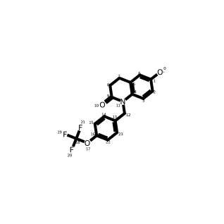 [O]c1ccc2c(c1)CCC(=O)N2Cc1ccc(OC(F)(F)F)cc1